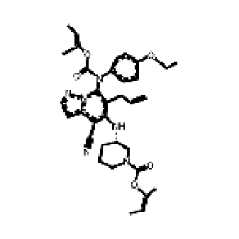 C=CCc1c(N[C@H]2CCCN(C(=O)O/C(C)=C\C)C2)c(C#N)c2ccnn2c1N(C(=O)O/C(C)=C/C)c1ccc(OCC)cc1